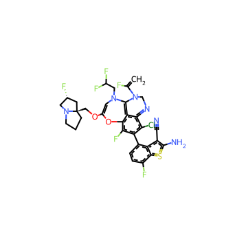 C=C(F)N1CN=c2c(Cl)c(-c3ccc(F)c4sc(N)c(C#N)c34)c(F)c3c2=C1N(CC(F)F)C=C(OC[C@@]12CCCN1C[C@H](F)C2)O3